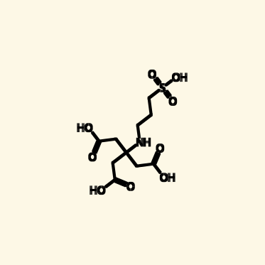 O=C(O)CC(CC(=O)O)(CC(=O)O)NCCCS(=O)(=O)O